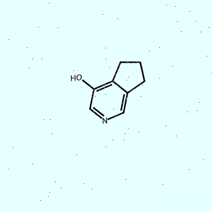 Oc1cncc2c1CCC2